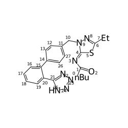 CCCCC(=O)N=c1sc(CC)nn1Cc1ccc(-c2ccccc2-c2nnn[nH]2)cc1